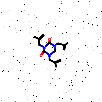 C=C(C)CN1CN(CC(=C)C)C(=O)N(CC(=C)C)C1=O